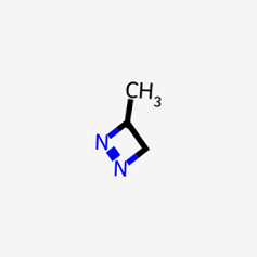 C[C]1CN=N1